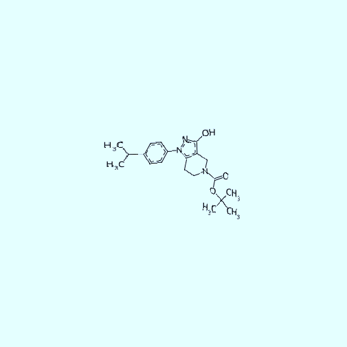 CC(C)c1ccc(-n2nc(O)c3c2CCN(C(=O)OC(C)(C)C)C3)cc1